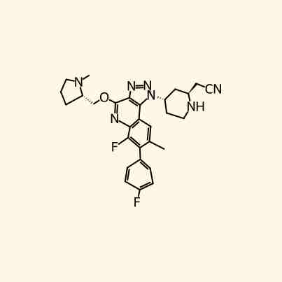 Cc1cc2c(nc(OC[C@@H]3CCCN3C)c3nnn([C@H]4CCN[C@H](CC#N)C4)c32)c(F)c1-c1ccc(F)cc1